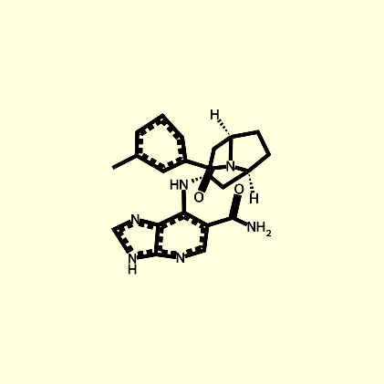 Cc1cccc(C(=O)N2[C@@H]3CC[C@H]2C[C@H](Nc2c(C(N)=O)cnc4[nH]cnc24)C3)c1